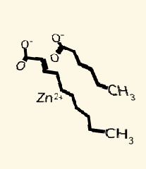 CCCCCC(=O)[O-].CCCCCCCC=CC(=O)[O-].[Zn+2]